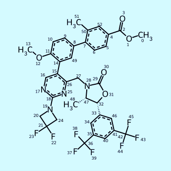 COC(=O)c1ccc(-c2ccc(OC)c(-c3cnc(N4CC(F)(F)C4)nc3CN3C(=O)O[C@H](c4cc(C(F)(F)F)cc(C(F)(F)F)c4)[C@@H]3C)c2)c(C)c1